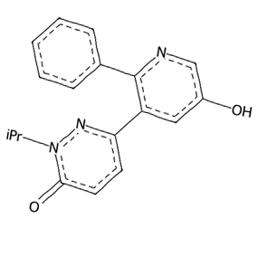 CC(C)n1nc(-c2cc(O)cnc2-c2ccccc2)ccc1=O